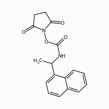 CC(NC(=O)ON1C(=O)CCC1=O)c1cccc2ccccc12